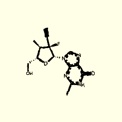 C#C[C@@]1(F)[C@H](C)[C@@H](CO)O[C@H]1n1cnc2c(=O)[nH]c(C)nc21